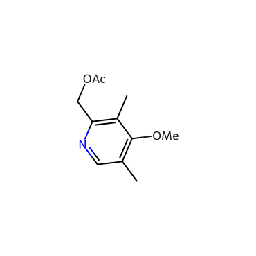 COc1c(C)cnc(COC(C)=O)c1C